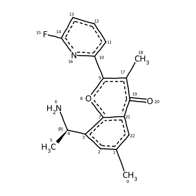 Cc1cc([C@@H](C)N)c2oc(-c3cccc(F)n3)c(C)c(=O)c2c1